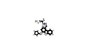 NC(=S)N/N=C\c1ccc(OC2CCCC2)c2oc3ccccc3c12